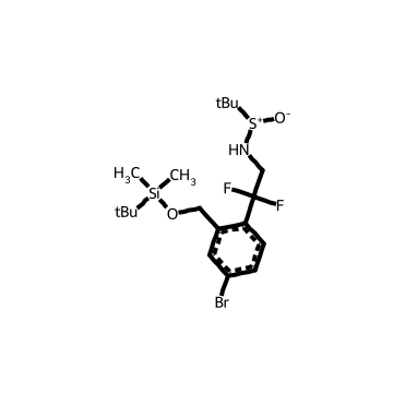 CC(C)(C)[S+]([O-])NCC(F)(F)c1ccc(Br)cc1CO[Si](C)(C)C(C)(C)C